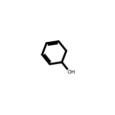 OC1C=[C]C=CC1